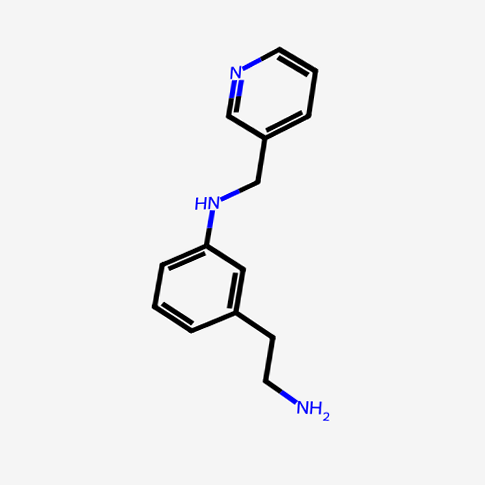 NCCc1cccc(NCc2cccnc2)c1